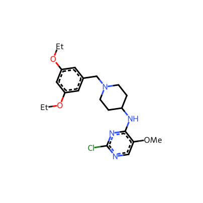 CCOc1cc(CN2CCC(Nc3nc(Cl)ncc3OC)CC2)cc(OCC)c1